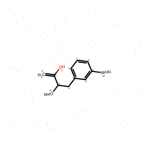 C=C(O)C(Cc1cccc(NC(C)=O)c1)OC